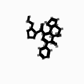 COC[C@@H]1CCCN1C(=O)c1cc(-c2ccccc2)c(=O)n2c1-c1sccc1CN2